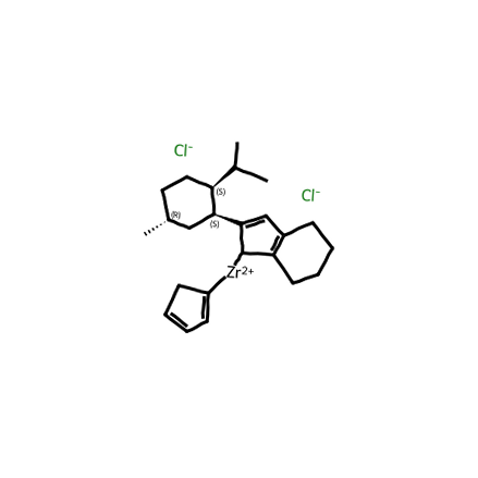 CC(C)[C@@H]1CC[C@@H](C)C[C@@H]1C1=CC2=C(CCCC2)[CH]1[Zr+2][C]1=CC=CC1.[Cl-].[Cl-]